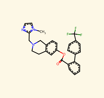 Cn1ccnc1CN1CCc2cc(OC(=O)c3ccccc3-c3ccc(C(F)(F)F)cc3)ccc2C1